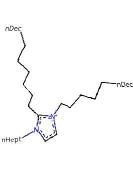 CCCCCCCCCCCCCCCCc1n(CCCCCCC)cc[n+]1CCCCCCCCCCCCCCC